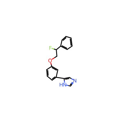 FC(COc1cccc(-c2cnc[nH]2)c1)c1ccccc1